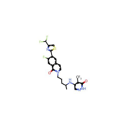 CC(CCCn1ccc2cc(-c3nc(C(F)F)cs3)c(F)cc2c1=O)Nc1cn[nH]c(=O)c1C(F)(F)F